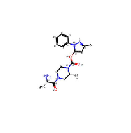 CC[C@@H]1CN(C(=O)[C@@H](N)C(C)C)CCN1C(=O)Oc1cc(C)nn1-c1ccccc1